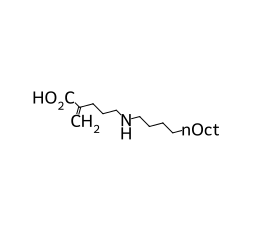 C=C(CCCNCCCCCCCCCCCC)C(=O)O